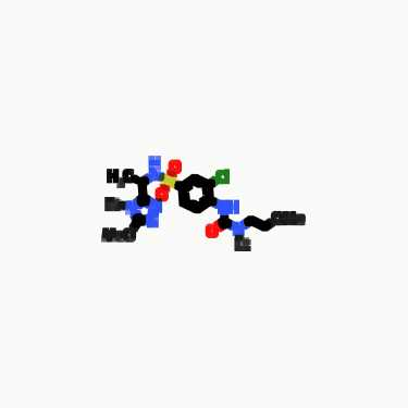 CCN(CCOC)C(=O)Nc1ccc(S(=O)(=O)N[C@H](C)c2nnc(OC)n2CC)cc1Cl